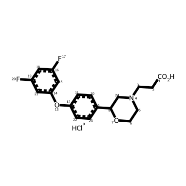 Cl.O=C(O)CCN1CCOC(c2ccc(Oc3cc(F)cc(F)c3)cc2)C1